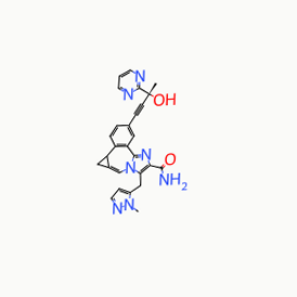 Cn1nccc1Cc1c(C(N)=O)nc2n1C=C1CC1c1ccc(C#C[C@@](C)(O)c3ncccn3)cc1-2